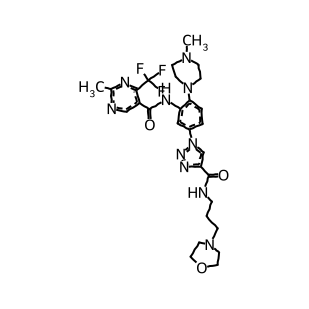 Cc1ncc(C(=O)Nc2cc(-n3cc(C(=O)NCCCN4CCOCC4)nn3)ccc2N2CCN(C)CC2)c(C(F)(F)F)n1